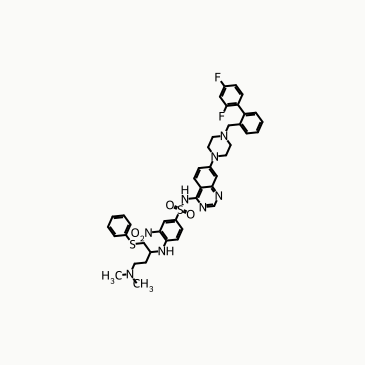 CN(C)CCC(CSc1ccccc1)Nc1ccc(S(=O)(=O)Nc2ncnc3cc(N4CCN(Cc5ccccc5-c5ccc(F)cc5F)CC4)ccc23)cc1[N+](=O)[O-]